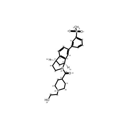 CS(=O)(=O)c1cccc(-c2ccc3c(c2)[C@@H]2C[C@H]3CCN2C(=O)C2CCN(CCO)CC2)c1